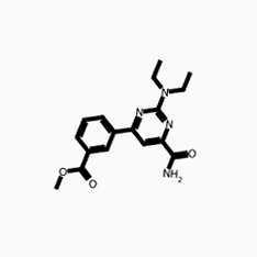 CCN(CC)c1nc(C(N)=O)cc(-c2cccc(C(=O)OC)c2)n1